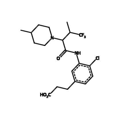 CC1CCN(C(C(=O)Nc2cc(CCC(=O)O)ccc2Cl)C(C)C(F)(F)F)CC1